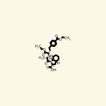 CCOC(=O)c1ccc(CC[C@H](N[C@@H](C)C(=O)N2[C@@H]3CCCC[C@@H]3C[C@H]2C(=O)O)C(=O)OCC)cc1